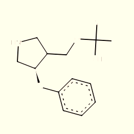 CC(C)(O)OCC1CNC[C@@H]1Sc1ccccc1